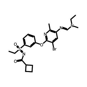 CCN(C)C=Nc1cc(Br)c(Oc2cccc(S(=O)(CC)=NC(=O)C3CCC3)c2)nc1C